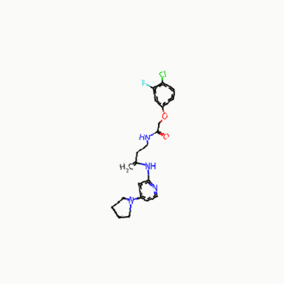 C=C(CCNC(=O)COc1ccc(Cl)c(F)c1)Nc1cc(N2CCCC2)ccn1